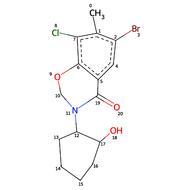 Cc1c(Br)cc2c(c1Cl)OCN(C1CCCCC1O)C2=O